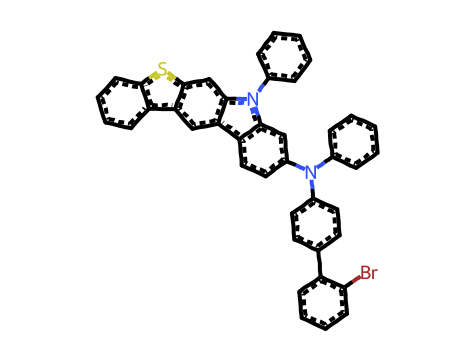 Brc1ccccc1-c1ccc(N(c2ccccc2)c2ccc3c4cc5c(cc4n(-c4ccccc4)c3c2)sc2ccccc25)cc1